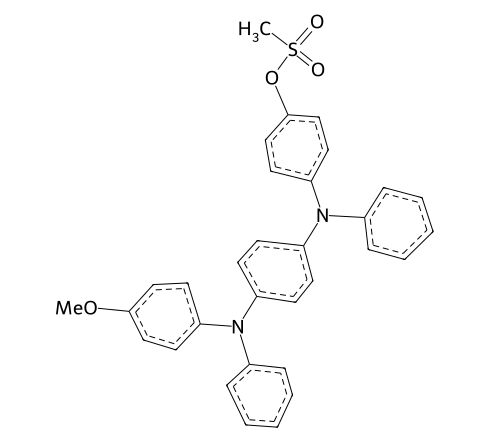 COc1ccc(N(c2ccccc2)c2ccc(N(c3ccccc3)c3ccc(OS(C)(=O)=O)cc3)cc2)cc1